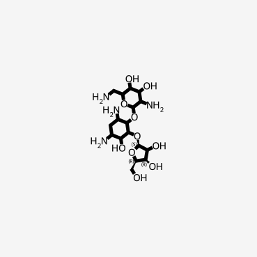 NCC1OC(OC2C(N)CC(N)C(O)C2O[C@@H]2O[C@H](CO)[C@H](O)C2O)C(N)C(O)C1O